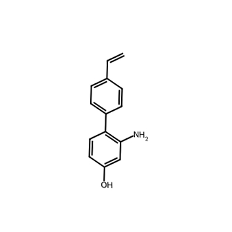 C=Cc1ccc(-c2ccc(O)cc2N)cc1